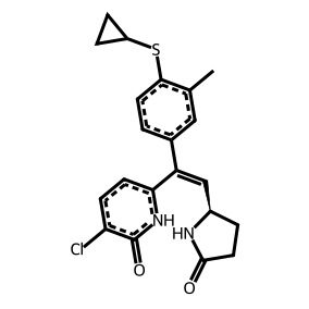 Cc1cc(/C(=C/[C@H]2CCC(=O)N2)c2ccc(Cl)c(=O)[nH]2)ccc1SC1CC1